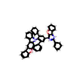 c1cccc(-c2cc(-c3nc(-c4ccccc4)nc4c3oc3ccccc34)cc(-c3ccccc3)c2-n2c3c(c4ccccc42)C=C2c4ccccc4OC2C3)c#1